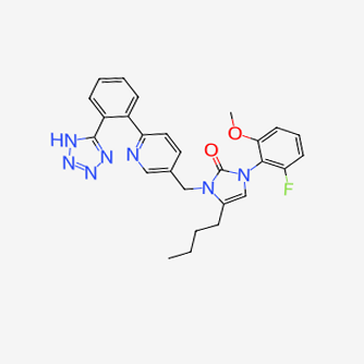 CCCCc1cn(-c2c(F)cccc2OC)c(=O)n1Cc1ccc(-c2ccccc2-c2nnn[nH]2)nc1